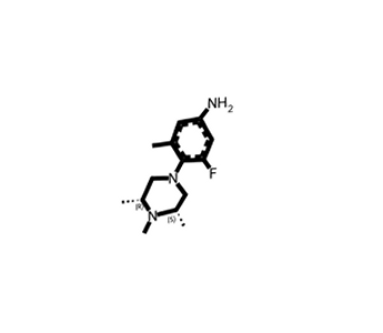 Cc1cc(N)cc(F)c1N1C[C@@H](C)N(C)[C@@H](C)C1